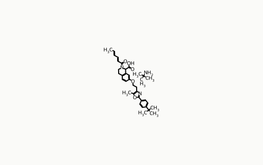 CC(C)(C)N.CC=CC=CC(=O)N1CCc2ccc(OCCc3nc(-c4ccc(C(C)(C)C)cc4)oc3C)cc2C1C(=O)O